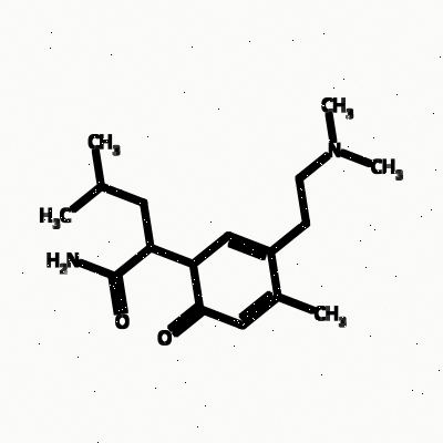 CC1=CC(=O)C(C(CC(C)C)C(N)=O)C=C1CCN(C)C